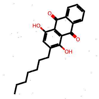 CCCCCCCc1cc(O)c2c(c1O)C(=O)c1ccccc1C2=O